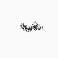 CC1C=C2CCCC(C(=O)OCC3COC(C4C=C5CCCC(C5)C4)O3)(C2)C1